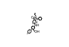 C=CCn1c(=O)c2cnc(Nc3ccc(N4CCN(C)CC4)c(CO)c3)nc2n1-c1ccccc1